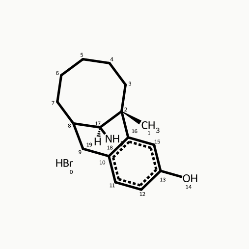 Br.C[C@@]12CCCCCC(Cc3ccc(O)cc31)[C@@H]2N